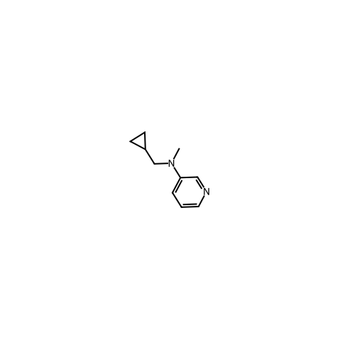 CN(CC1CC1)c1cccnc1